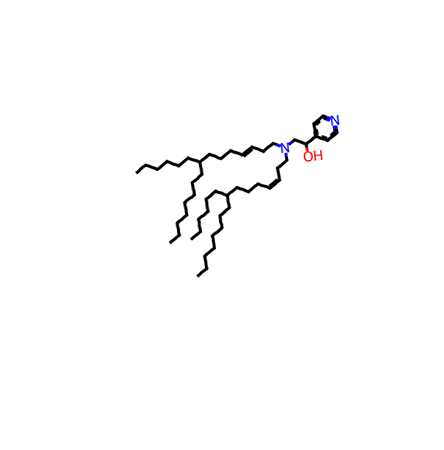 CCCCCCCCC(CCC/C=C\CCN(CC/C=C/CCCC(CCCCCC)CCCCCCCC)CC(O)c1ccncc1)CCCCCC